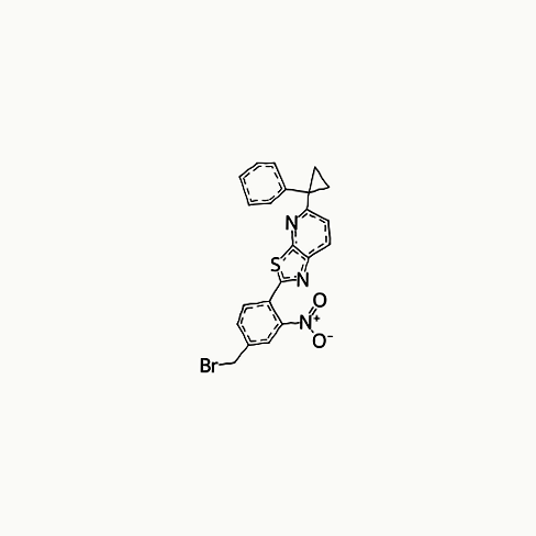 O=[N+]([O-])c1cc(CBr)ccc1-c1nc2ccc(C3(c4ccccc4)CC3)nc2s1